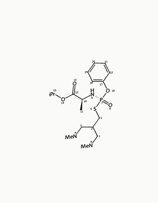 CNCC(CNC)CS[P@@](=O)(N[C@@H](C)C(=O)OC(C)C)Oc1ccccc1